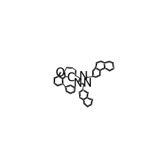 C1=Cc2oc3cccc(-c4ccccc4)c3c2CC(c2nc(-c3ccc4ccccc4c3)nc(-c3ccc4c(ccc5ccccc54)c3)n2)=C1